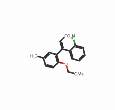 COCOc1ccc(C)cc1C(=CC(=O)O)c1ccccc1F